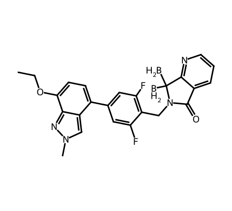 BC1(B)c2ncccc2C(=O)N1Cc1c(F)cc(-c2ccc(OCC)c3nn(C)cc23)cc1F